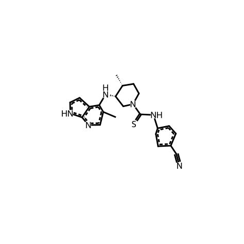 Cc1cnc2[nH]ccc2c1N[C@H]1CN(C(=S)Nc2ccc(C#N)cc2)CC[C@H]1C